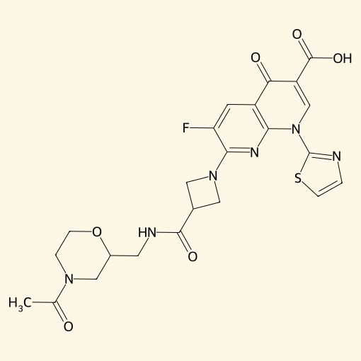 CC(=O)N1CCOC(CNC(=O)C2CN(c3nc4c(cc3F)c(=O)c(C(=O)O)cn4-c3nccs3)C2)C1